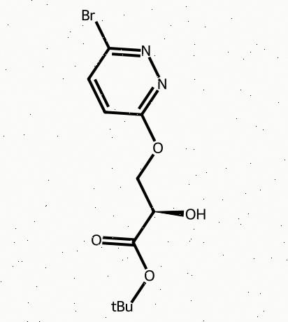 CC(C)(C)OC(=O)[C@H](O)COc1ccc(Br)nn1